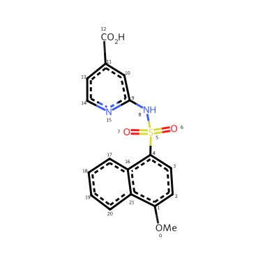 COc1ccc(S(=O)(=O)Nc2cc(C(=O)O)ccn2)c2ccccc12